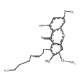 CCCCC=CCc1c(O)c(OC)cc2oc3cc(OC)cc(O)c3c(=O)c12